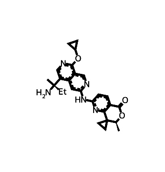 CC[C@](C)(N)c1cnc(OC2CC2)c2cnc(Nc3ccc4c(n3)C3(CC3)[C@H](C)OC4=O)cc12